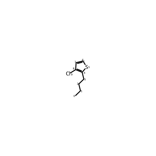 CCCCc1s[c]cc1Cl